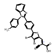 Cc1ccc(-n2c(-c3ccc(-c4sc(/C=C(\C#N)C(=O)O)c(Br)c4Br)cc3)nc3ccccc32)cc1